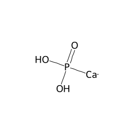 O=[P](O)(O)[Ca]